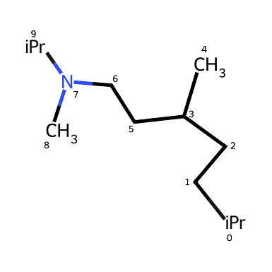 CC(C)CCC(C)CCN(C)C(C)C